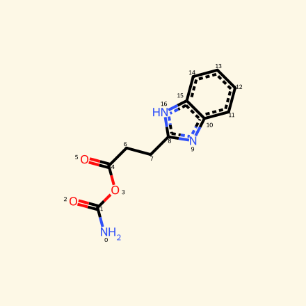 NC(=O)OC(=O)CCc1nc2ccccc2[nH]1